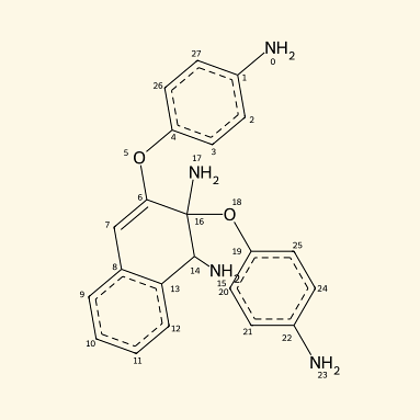 Nc1ccc(OC2=Cc3ccccc3C(N)C2(N)Oc2ccc(N)cc2)cc1